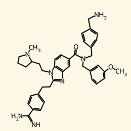 COc1cccc(CN(Cc2ccc(CN)cc2)C(=O)c2ccc3c(c2)nc(CCc2ccc(C(=N)N)cc2)n3CCC2CCCN2C)c1